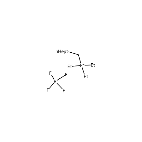 CCCCCCCC[P+](CC)(CC)CC.F[B-](F)(F)F